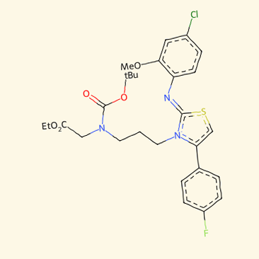 CCOC(=O)CN(CCCn1c(-c2ccc(F)cc2)csc1=Nc1ccc(Cl)cc1OC)C(=O)OC(C)(C)C